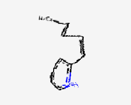 CO/C=C/C=C\c1ccc[nH]1